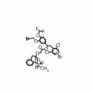 CS(=O)(=O)Nc1ccccc1CC(=O)OCC(=O)OC(Cc1c(Cl)c[n+]([O-])cc1Cl)c1ccc(OC(F)F)c(OCC2CC2)c1